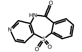 O=C1Nc2cnccc2S(=O)(=O)c2ccccc21